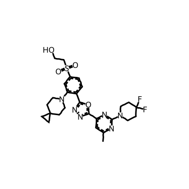 Cc1cc(-c2nnc(-c3ccc(S(=O)(=O)CCO)cc3N3CCC4(CC3)CC4)o2)nc(N2CCC(F)(F)CC2)n1